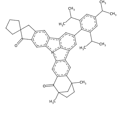 CC(C)c1cc(C(C)C)c(-c2cc3c4cc5c(cc4n4c6cc7c(cc6c(c2)c34)C2(C)CCC(C)(C2)C7=O)C(=O)C2(CCCC2)C5)c(C(C)C)c1